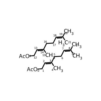 CC(=O)OC/C=C(\C)CCC=C(C)C.CC(=O)OC/C=C(\C)CCC=C(C)C